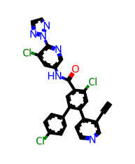 C#Cc1cnccc1-c1cc(Cl)c(C(=O)Nc2cnc(-n3nccn3)c(Cl)c2)cc1-c1ccc(Cl)cc1